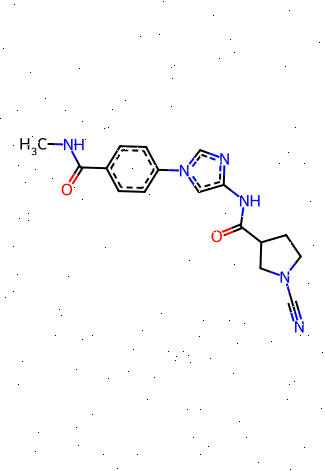 CNC(=O)c1ccc(-n2cnc(NC(=O)C3CCN(C#N)C3)c2)cc1